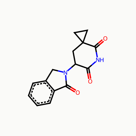 O=C1NC(=O)C2(CC2)CC1N1Cc2ccccc2C1=O